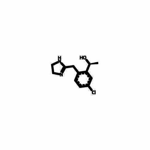 C[C@H](O)c1cc(Cl)ccc1CC1=NCCN1